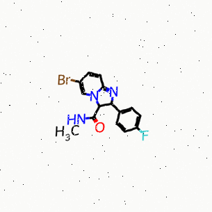 CNC(=O)C1C(c2ccc(F)cc2)N=C2C=CC(Br)=CN21